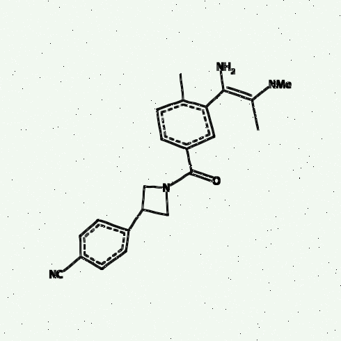 CN/C(C)=C(\N)c1cc(C(=O)N2CC(c3ccc(C#N)cc3)C2)ccc1C